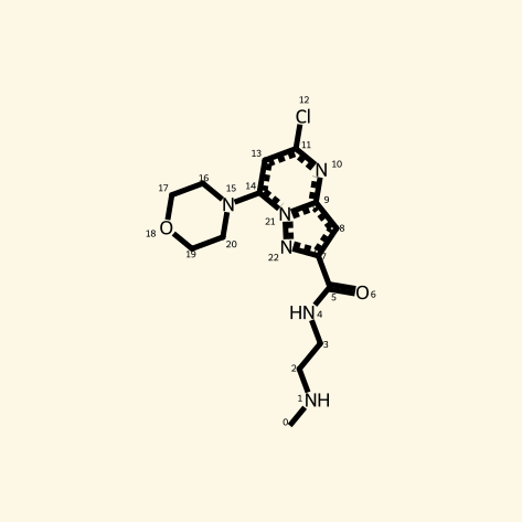 CNCCNC(=O)c1cc2nc(Cl)cc(N3CCOCC3)n2n1